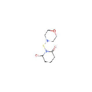 O=C1CCCC(=O)N1SN1CCOCC1